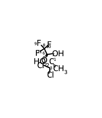 CC(=O)O.ClCCl.O=C(O)C(F)(F)F